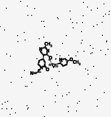 COc1ccc([C@H]2C[C@@H]2COc2nc(C)ncc2-c2ccn(CC#N)c(=O)c2)nc1